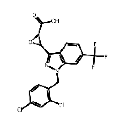 O=C(O)C1OC1c1nn(Cc2ccc(Cl)cc2Cl)c2cc(C(F)(F)F)ccc12